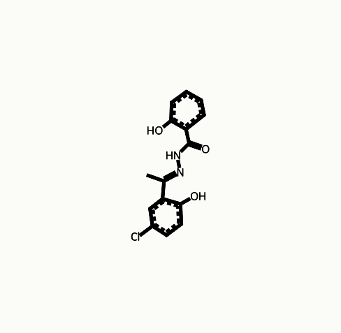 C/C(=N\NC(=O)c1ccccc1O)c1cc(Cl)ccc1O